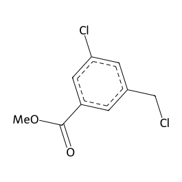 COC(=O)c1cc(Cl)cc(CCl)c1